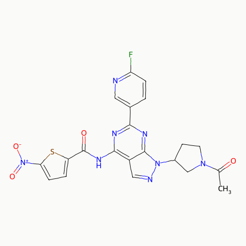 CC(=O)N1CCC(n2ncc3c(NC(=O)c4ccc([N+](=O)[O-])s4)nc(-c4ccc(F)nc4)nc32)C1